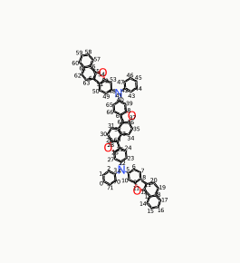 c1ccc(N(c2ccc3c(c2)oc2c4ccccc4ccc32)c2ccc3c(c2)oc2ccc4c(ccc5oc6cc(N(c7ccccc7)c7ccc8c(c7)oc7c9ccccc9ccc87)ccc6c54)c23)cc1